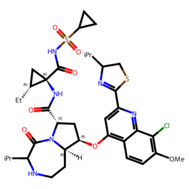 CC[C@@H]1C[C@]1(NC(=O)[C@@H]1C[C@@H](Oc2cc(C3=NC(C(C)C)CS3)nc3c(Cl)c(OC)ccc23)[C@H]2CCNC(C(C)C)C(=O)N21)C(=O)NS(=O)(=O)C1CC1